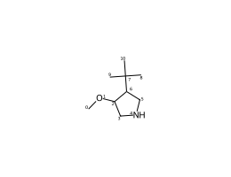 COC1CNCC1C(C)(C)C